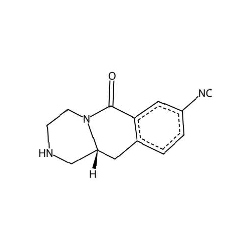 [C-]#[N+]c1ccc2c(c1)C(=O)N1CCNC[C@H]1C2